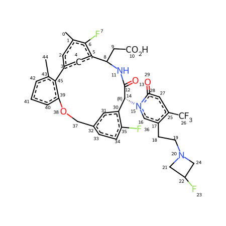 Cc1cc2cc(c1F)C(CC(=O)O)NC(=O)[C@H](n1cc(CCN3CC(F)C3)c(C(F)(F)F)cc1=O)c1cc(ccc1F)COc1cccc(C)c1-2